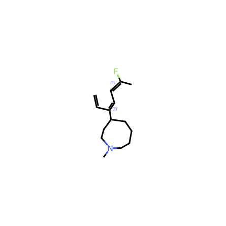 C=C/C(=C\C=C(/C)F)C1CCCCN(C)CC1